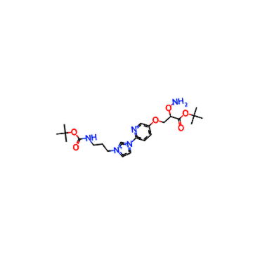 CC(C)(C)OC(=O)NCCC[n+]1ccn(-c2ccc(OCC(ON)C(=O)OC(C)(C)C)cn2)c1